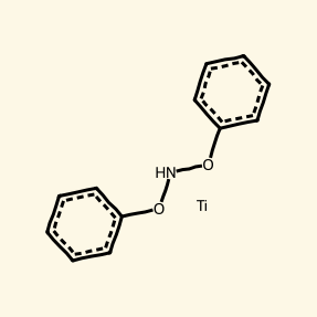 [Ti].c1ccc(ONOc2ccccc2)cc1